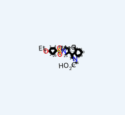 CCOc1ccc(S(=O)(=O)N2CCC(c3cn(CC(=O)O)c4cccc(OC)c34)C2)cc1